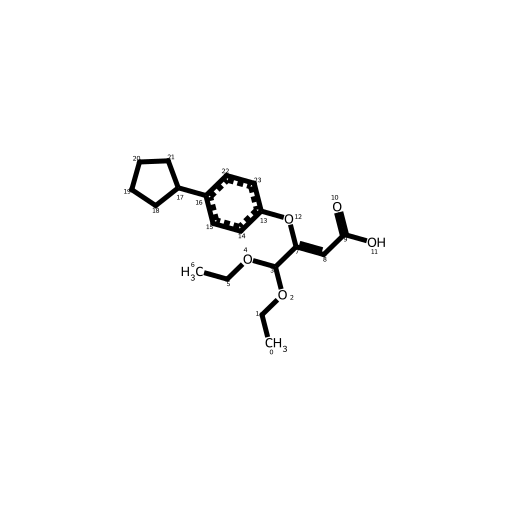 CCOC(OCC)/C(=C/C(=O)O)Oc1ccc(C2CCCC2)cc1